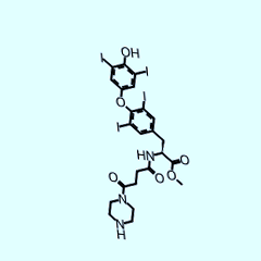 COC(=O)[C@H](Cc1cc(I)c(Oc2cc(I)c(O)c(I)c2)c(I)c1)NC(=O)CCC(=O)N1CCNCC1